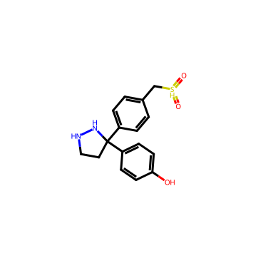 O=[SH](=O)Cc1ccc(C2(c3ccc(O)cc3)CCNN2)cc1